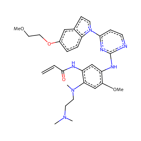 C=CC(=O)Nc1cc(Nc2nccc(-n3ccc4cc(OCCOC)ccc43)n2)c(OC)cc1N(C)CCN(C)C